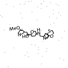 COC1=CC(C[C@H](O)[C@@H]2CC[C@@H](NCc3cc4c(cn3)OCCS4)CO2)CN=C1